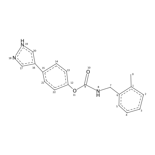 Cc1ccccc1CNC(=O)Oc1ccc(-c2cn[nH]c2)cc1